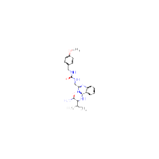 COc1ccc(CNC(=O)NCc2nc(N[C@H](C(N)=O)C(C)C)c3ccccc3n2)cc1